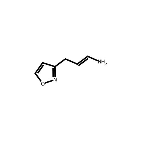 NC=CCc1ccon1